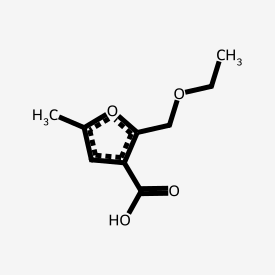 CCOCc1oc(C)cc1C(=O)O